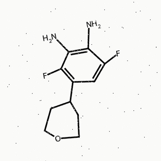 Nc1c(F)cc(C2CCOCC2)c(F)c1N